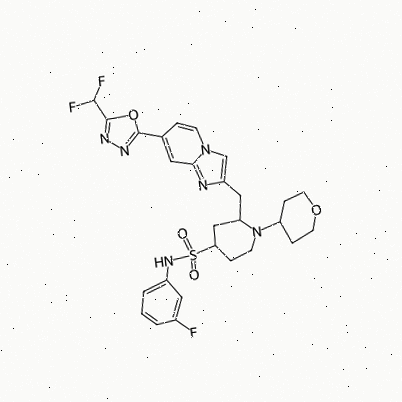 O=S(=O)(Nc1cccc(F)c1)C1CCN(C2CCOCC2)C(Cc2cn3ccc(-c4nnc(C(F)F)o4)cc3n2)C1